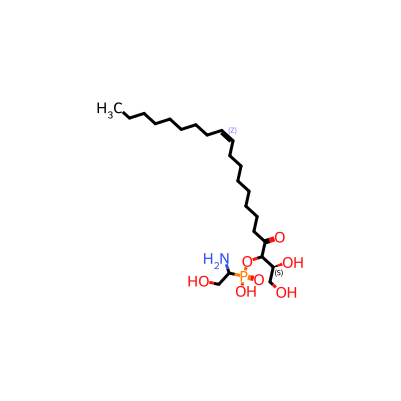 CCCCCCCC/C=C\CCCCCCCC(=O)C(OP(=O)(O)C(N)CO)[C@@H](O)CO